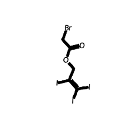 O=C(CBr)OCC(I)=C(I)I